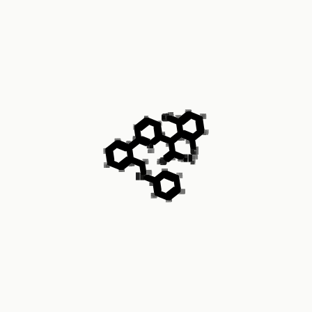 NC(=O)C(c1cccc(-c2ccccc2CNc2ccccc2)n1)c1c(Cl)cccc1Cl